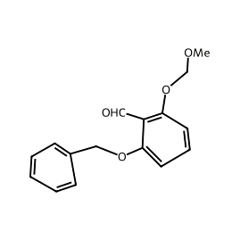 COCOc1cccc(OCc2ccccc2)c1C=O